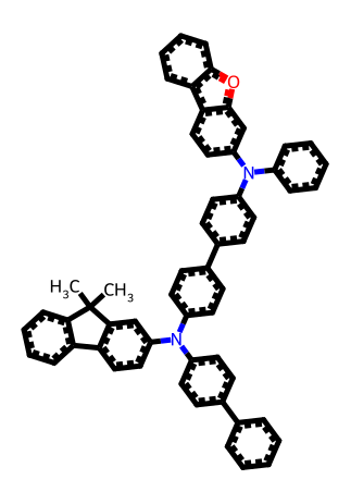 CC1(C)c2ccccc2-c2ccc(N(c3ccc(-c4ccccc4)cc3)c3ccc(-c4ccc(N(c5ccccc5)c5ccc6c(c5)oc5ccccc56)cc4)cc3)cc21